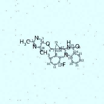 Cc1ncc(OC[C@@]2(c3cccc(F)c3)C[C@H]2c2nc3ccccc3c(=O)[nH]2)c(C)n1